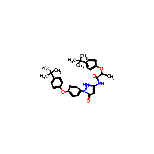 CC(Oc1ccc(C(C)(C)C)cc1)C(=O)Nc1cc(=O)n(-c2ccc(Oc3ccc(C(C)(C)C)cc3)cc2)[nH]1